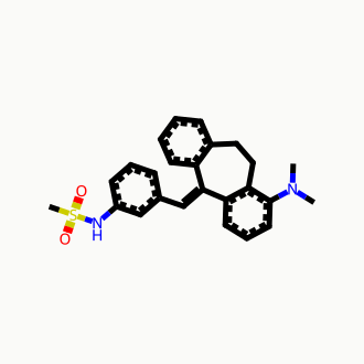 CN(C)c1cccc2c1CCc1ccccc1C2=Cc1cccc(NS(C)(=O)=O)c1